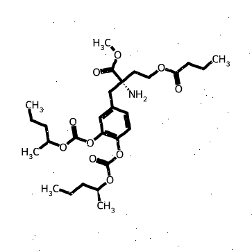 CCCC(=O)OCC[C@@](N)(Cc1ccc(OC(=O)O[C@@H](C)CCC)c(OC(=O)OC(C)CCC)c1)C(=O)OC